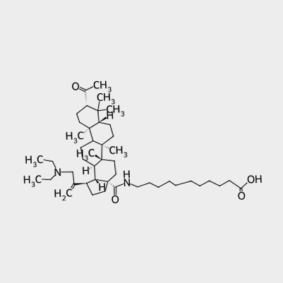 C=C(CN(CC)CC)[C@@H]1CC[C@]2(C(=O)NCCCCCCCCCCC(=O)O)CC[C@]3(C)[C@H](CCC4[C@@]5(C)CC[C@H](C(C)=O)C(C)(C)[C@@H]5CC[C@]43C)[C@@H]12